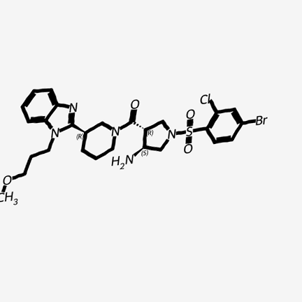 COCCCn1c([C@@H]2CCCN(C(=O)[C@@H]3CN(S(=O)(=O)c4ccc(Br)cc4Cl)C[C@H]3N)C2)nc2ccccc21